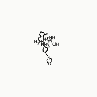 Cl.NC(=O)N(c1c[nH]nc1-c1nc2cc(CCN3CCOCC3)ccc2[nH]1)c1c(F)cccc1F